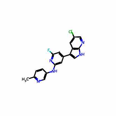 Cc1ccc(Nc2cc(-c3c[nH]c4ncc(Cl)cc34)[c]c(F)n2)cn1